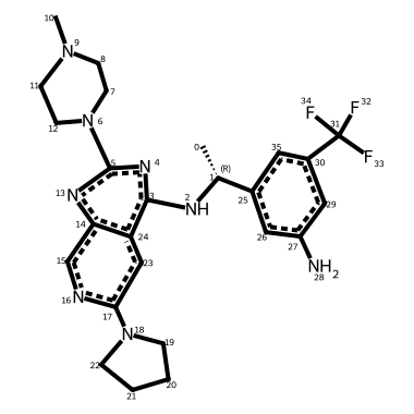 C[C@@H](Nc1nc(N2CCN(C)CC2)nc2cnc(N3CCCC3)cc12)c1cc(N)cc(C(F)(F)F)c1